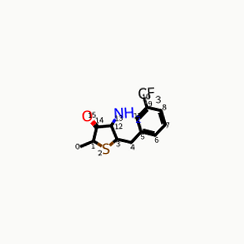 CC1SC(Cc2cccc(C(F)(F)F)c2)C(N)C1=O